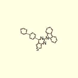 c1ccc(-c2ccc(-c3nc(-n4c5ccccc5c5ccccc54)nc4cscc34)cc2)cc1